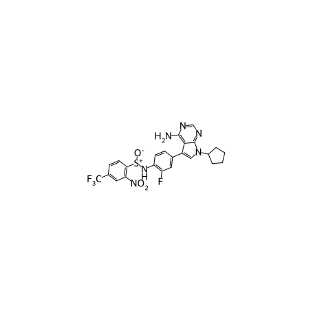 Nc1ncnc2c1c(-c1ccc(N[S+]([O-])c3ccc(C(F)(F)F)cc3[N+](=O)[O-])c(F)c1)cn2C1CCCC1